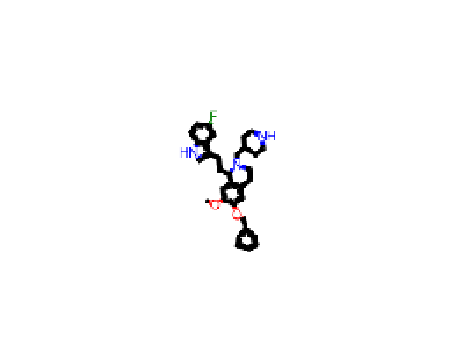 COc1cc2c(cc1OCc1ccccc1)CCN(CC1CCNCC1)C2CCc1c[nH]c2ccc(F)cc12